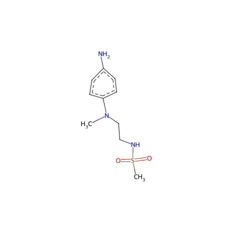 CN(CCNS(C)(=O)=O)c1ccc(N)cc1